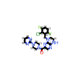 O=C(c1cnc2c(n1)N(Cc1c(F)ccc(F)c1Cl)CCN2)N1CCN(c2ncccn2)CC1